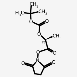 C[C@H](OC(=O)OC(C)(C)C)C(=O)ON1C(=O)CCC1=O